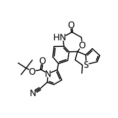 CCCC1(c2cccs2)OCC(=O)Nc2ccc(-c3ccc(C#N)n3C(=O)OC(C)(C)C)cc21